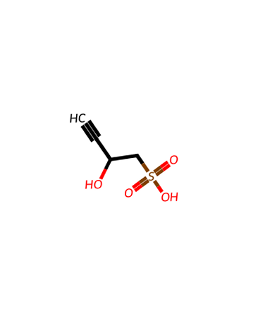 C#CC(O)CS(=O)(=O)O